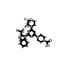 CCC(=O)N1CCN(c2cc(N3CCO[C@@H](C)[C@@H]3C)nc(-n3c(C(F)F)nc4ccccc43)n2)CC1